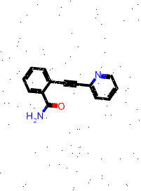 NC(=O)c1ccccc1C#Cc1ccccn1